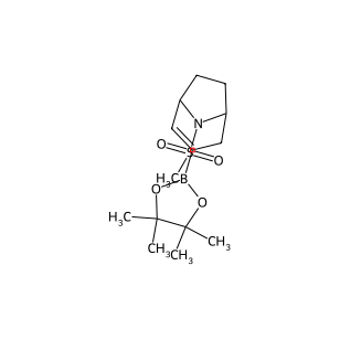 CC1(C)OB(C2=CC3CCC(C2)N3S(C)(=O)=O)OC1(C)C